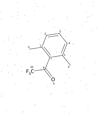 Cc1cccc(C)c1C(=O)C(F)(F)F